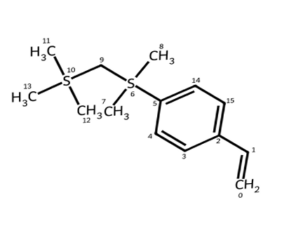 C=Cc1ccc(S(C)(C)CS(C)(C)C)cc1